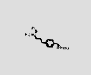 CC(C)CN(C)CCCc1ccc(CNC(C)(C)C)cc1